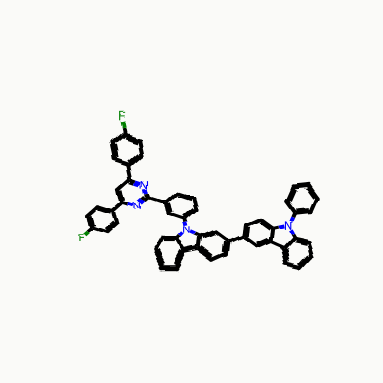 Fc1ccc(-c2cc(-c3ccc(F)cc3)nc(-c3cccc(-n4c5ccccc5c5ccc(-c6ccc7c(c6)c6ccccc6n7-c6ccccc6)cc54)c3)n2)cc1